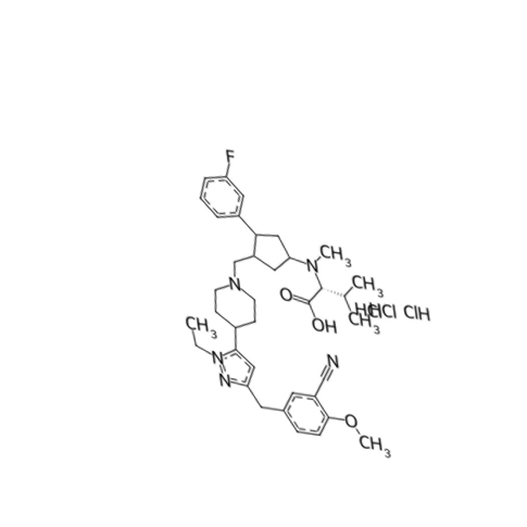 CCn1nc(Cc2ccc(OC)c(C#N)c2)cc1C1CCN(CC2CC(N(C)[C@@H](C(=O)O)C(C)C)CC2c2cccc(F)c2)CC1.Cl.Cl.Cl